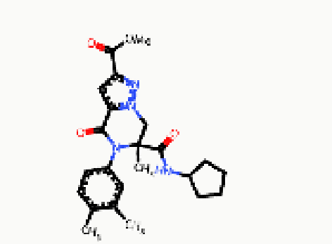 COC(=O)c1cc2n(n1)CC(C)(C(=O)NC1CCCC1)N(c1ccc(C)c(C)c1)C2=O